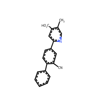 Cc1cnc(-c2ccc(-c3ccccc3)c(C#N)c2)cc1C(=O)O